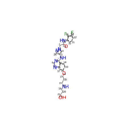 O=C(Cn1cc(Nc2ncnc3cc(OCCCNCCCO)ccc23)cn1)Nc1cccc(F)c1F